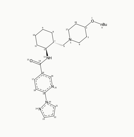 CCCCOC1CCN(C[C@H]2CCCC[C@@H]2NC(=O)c2ccc(-n3cccn3)nc2)CC1